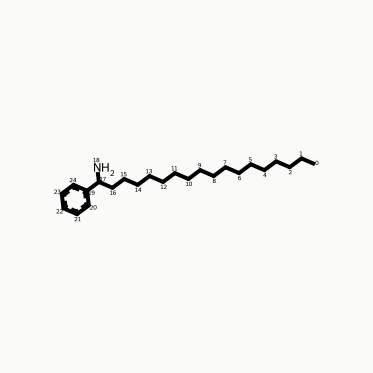 CCCCCCCCCCCCCCCCCC(N)c1ccccc1